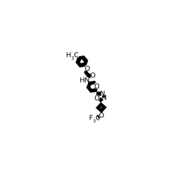 Cc1ccc(OCC(=O)N[C@@H]2CC[C@@H](c3nnc([C@H]4C[C@@H](OC(F)(F)F)C4)o3)OC2)cc1